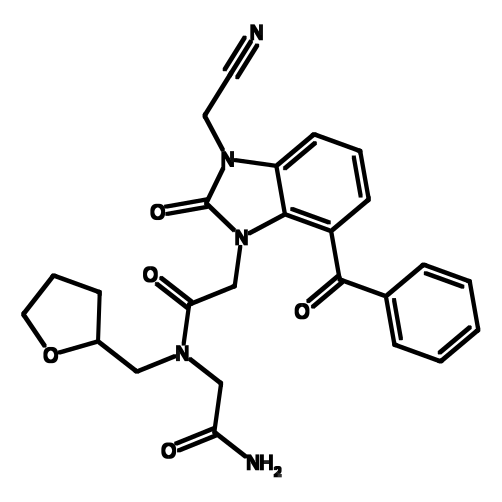 N#CCn1c(=O)n(CC(=O)N(CC(N)=O)CC2CCCO2)c2c(C(=O)c3ccccc3)cccc21